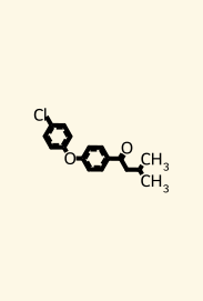 CC(C)CC(=O)c1ccc(Oc2ccc(Cl)cc2)cc1